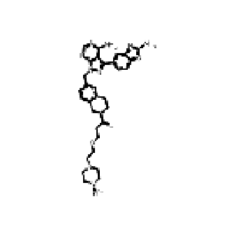 CCCN1CCN(CCOCCC(=O)C2CCc3cc(Cn4nc(-c5ccc6oc(N)nc6c5)c5c(N)ncnc54)ccc3C2)CC1